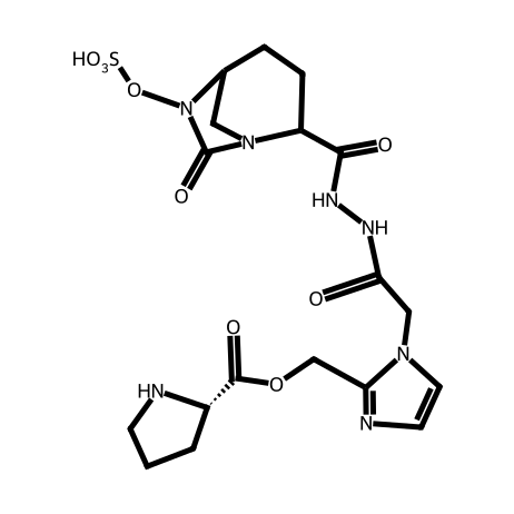 O=C(Cn1ccnc1COC(=O)[C@@H]1CCCN1)NNC(=O)C1CCC2CN1C(=O)N2OS(=O)(=O)O